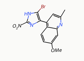 COc1ccc2c(-c3nc([N+](=O)[O-])[nH]c3Br)cc(C)nc2c1